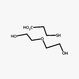 O=C(O)CCS.OCCOCCO